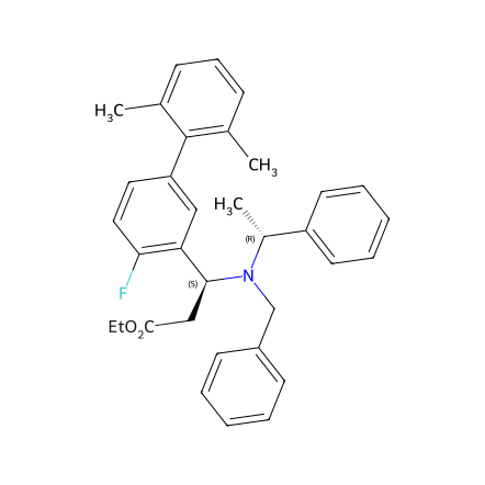 CCOC(=O)C[C@@H](c1cc(-c2c(C)cccc2C)ccc1F)N(Cc1ccccc1)[C@H](C)c1ccccc1